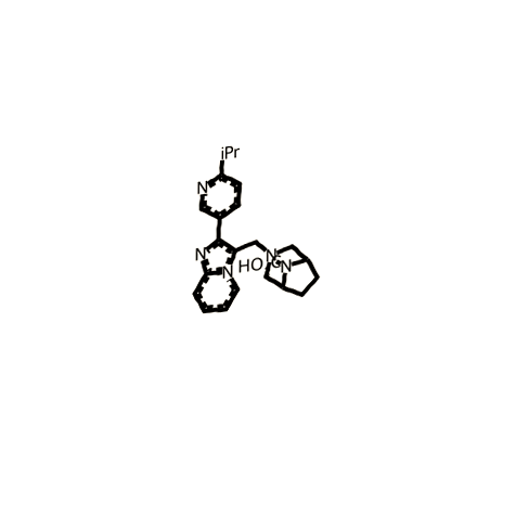 CC(C)c1ccc(-c2nc3ccccn3c2CN2CC3CCC(C2)N3C(=O)O)cn1